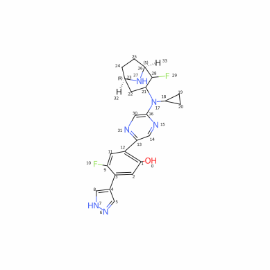 Oc1cc(-c2cn[nH]c2)c(F)cc1-c1cnc(N(C2CC2)C2C[C@H]3CC[C@H](N3)C2F)cn1